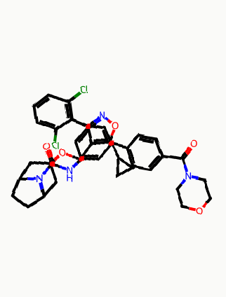 O=C(c1ccc(-c2cccc(NC(=O)N3C4CCC3CC(OCc3c(-c5c(Cl)cccc5Cl)noc3C3CC3)C4)c2)cc1)N1CCOCC1